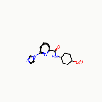 O=C(NC1CCC(O)CC1)c1cccc(-n2ccnc2)n1